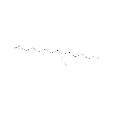 CCCCCCCCP(CCCCCC)OC